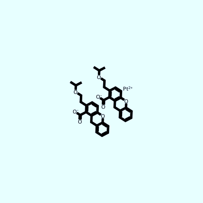 CC(C)OCCc1ccc2c(c1C(=O)[O-])Cc1ccccc1O2.CC(C)OCCc1ccc2c(c1C(=O)[O-])Cc1ccccc1O2.[Pt+2]